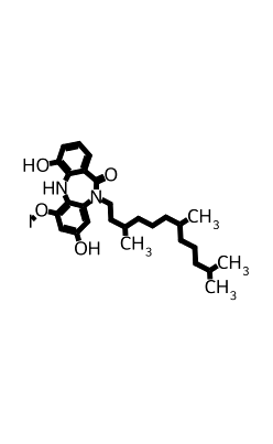 CC(C)CCCC(C)CCCC(C)CCN1C(=O)c2cccc(O)c2Nc2c(OI)cc(O)cc21